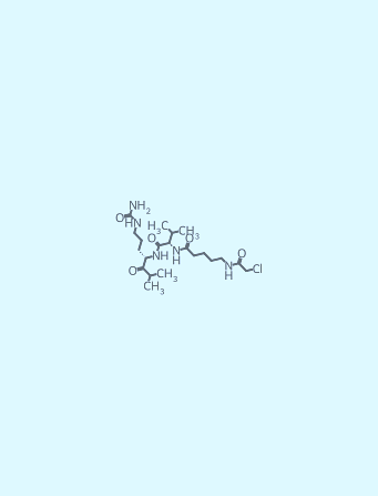 CC(C)C(=O)[C@H](CCCNC(N)=O)NC(=O)[C@@H](NC(=O)CCCCNC(=O)CCl)C(C)C